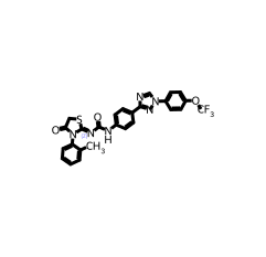 Cc1ccccc1N1C(=O)CS/C1=N\C(=O)Nc1ccc(-c2ncn(-c3ccc(OC(F)(F)F)cc3)n2)cc1